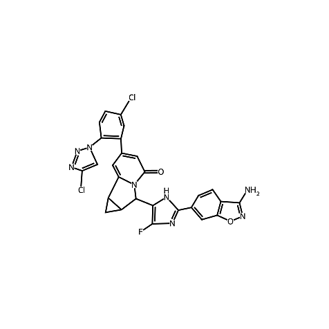 Nc1noc2cc(-c3nc(F)c(C4C5CC5c5cc(-c6cc(Cl)ccc6-n6cc(Cl)nn6)cc(=O)n54)[nH]3)ccc12